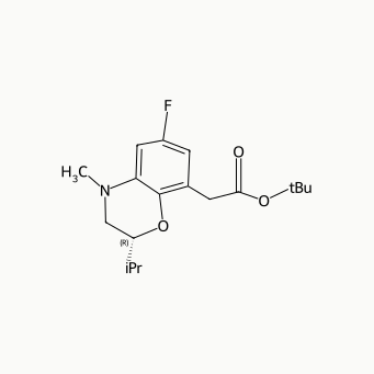 CC(C)[C@@H]1CN(C)c2cc(F)cc(CC(=O)OC(C)(C)C)c2O1